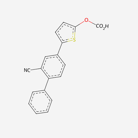 N#Cc1cc(-c2ccc(OC(=O)O)s2)ccc1-c1ccccc1